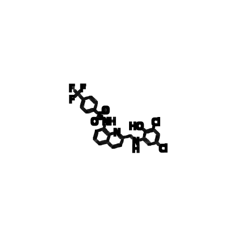 O=S(=O)(Nc1cccc2ccc(CNc3cc(Cl)cc(Cl)c3O)nc12)c1ccc(C(F)(F)F)cc1